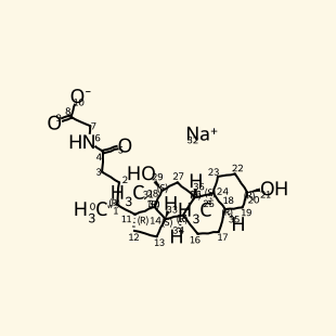 C[C@H](CCC(=O)NCC(=O)[O-])[C@H]1CC[C@H]2[C@@H]3CC[C@@H]4C[C@H](O)CC[C@]4(C)[C@H]3C[C@H](O)[C@]12C.[Na+]